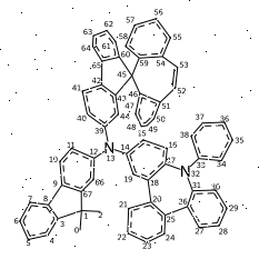 CC1(C)c2ccccc2-c2ccc(N(c3ccc4c(c3)-c3ccccc3-c3ccccc3N4c3ccccc3)c3ccc4c(c3)C3(c5ccccc5C=Cc5ccccc53)c3ccccc3-4)cc21